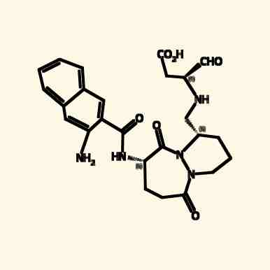 Nc1cc2ccccc2cc1C(=O)N[C@H]1CCC(=O)N2CCC[C@@H](CN[C@H](C=O)CC(=O)O)N2C1=O